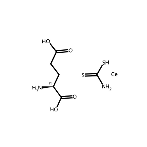 NC(=S)S.N[C@@H](CCC(=O)O)C(=O)O.[Ce]